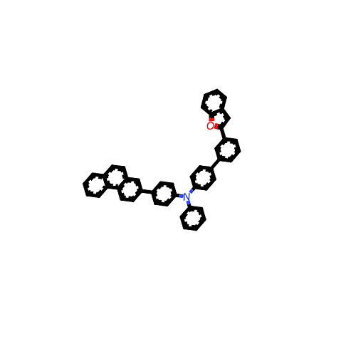 c1ccc(N(c2ccc(-c3cccc(-c4cc5ccccc5o4)c3)cc2)c2ccc(-c3ccc4c(ccc5ccccc54)c3)cc2)cc1